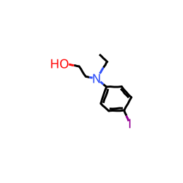 CCN(CCO)c1ccc(I)cc1